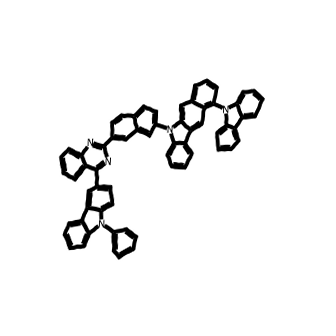 c1ccc(-n2c3ccccc3c3cc(-c4nc(-c5ccc6ccc(-n7c8ccccc8c8cc9c(-n%10c%11ccccc%11c%11ccccc%11%10)cccc9cc87)cc6c5)nc5ccccc45)ccc32)cc1